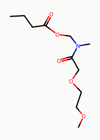 CCCC(=O)OCN(C)C(=O)COCCOC